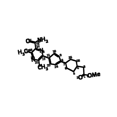 COC(=O)CC1CCC(c2ccc(-c3nc(C(N)=O)c(C)nc3C)cc2)CC1